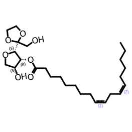 CCCCC/C=C\C/C=C\CCCCCCCC(=O)O[C@@H]1[C@@H](O)CO[C@@H]1C1(CO)OCCO1